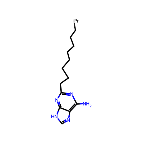 CC(C)CCCCCCCCc1nc(N)c2nc[nH]c2n1